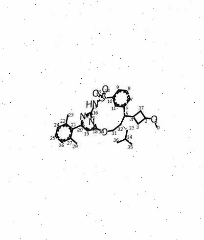 COC1CC(C2c3cccc(c3)S(=O)(=O)Nc3nc(cc(-c4c(C)cccc4C)n3)OC[C@H]2CC(C)C)C1